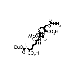 CO[C@@]1(NC(=O)CCCC(NC(=O)OCC(C)C)C(=O)O)C(=O)N2C(C(=O)O)=C(COC(N)=O)CS[C@H]21